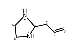 C=CCC1NCCN1